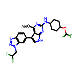 COc1nc(NC2CCC(OC(F)F)CC2)nc2[nH]cc(-c3ccc4nnn(CC(F)F)c4c3)c12